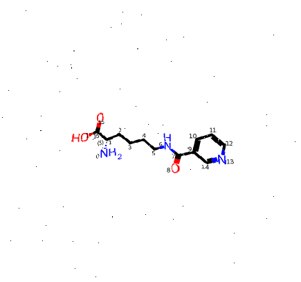 N[C@@H](CCCCNC(=O)c1cccnc1)C(=O)O